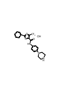 Cl.O=C(Nc1ccc(N2CCNCC2)cc1)c1nc(-c2ccccc2)oc1C(F)(F)F